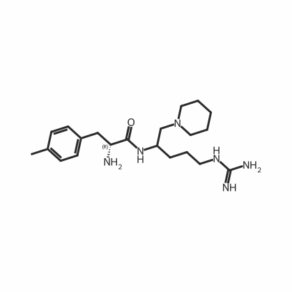 Cc1ccc(C[C@@H](N)C(=O)NC(CCCNC(=N)N)CN2CCCCC2)cc1